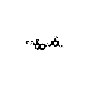 O=C(O)c1c[nH]c2ccc(OCc3cc(C(F)(F)F)cc(C(F)(F)F)c3)cc2c1=O